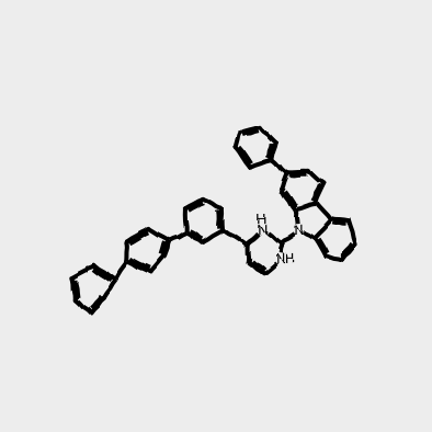 C1=CC(c2cccc(-c3ccc(-c4ccccc4)cc3)c2)NC(n2c3ccccc3c3ccc(-c4ccccc4)cc32)N1